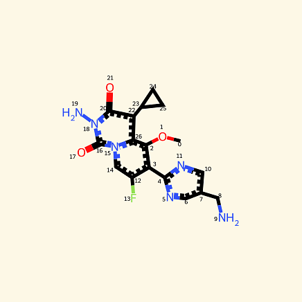 COc1c(-c2ncc(CN)cn2)c(F)cn2c(=O)n(N)c(=O)c(C3CC3)c12